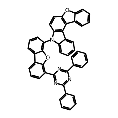 c1ccc(-c2nc(-c3ccccc3)nc(-c3cccc4c3oc3c(-n5c6ccccc6c6c7c(ccc65)oc5ccccc57)cccc34)n2)cc1